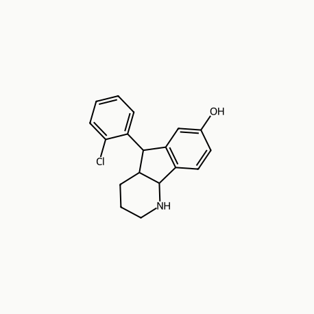 Oc1ccc2c(c1)C(c1ccccc1Cl)C1CCCNC21